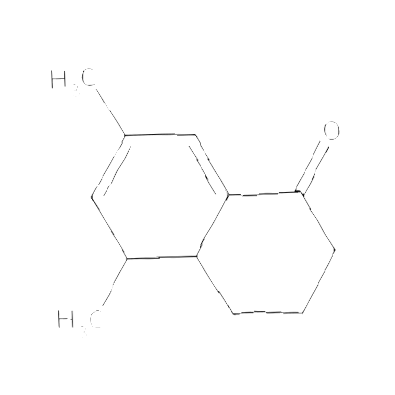 CC1=CC(C)C2CCCC(=O)C2=C1